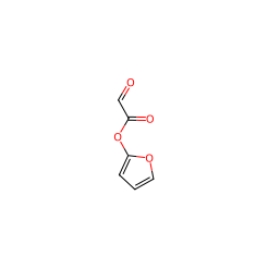 O=CC(=O)Oc1ccco1